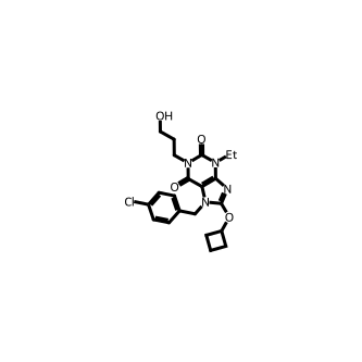 CCn1c(=O)n(CCCO)c(=O)c2c1nc(OC1CCC1)n2Cc1ccc(Cl)cc1